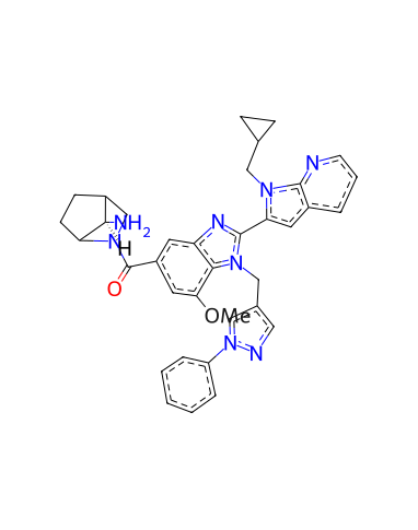 COc1cc(C(=O)N2CC3CCC2[C@@H]3N)cc2nc(-c3cc4cccnc4n3CC3CC3)n(Cc3cnn(-c4ccccc4)c3)c12